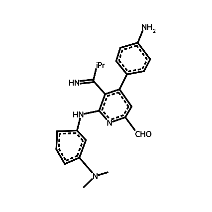 CC(C)C(=N)c1c(-c2ccc(N)cc2)cc(C=O)nc1Nc1cccc(N(C)C)c1